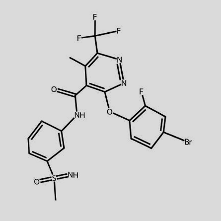 Cc1c(C(F)(F)F)nnc(Oc2ccc(Br)cc2F)c1C(=O)Nc1cccc(S(C)(=N)=O)c1